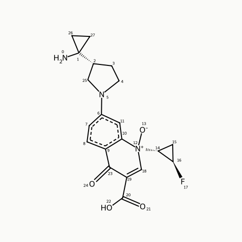 NC1([C@@H]2CCN(c3ccc4c(c3)[N+]([O-])([C@@H]3C[C@H]3F)C=C(C(=O)O)C4=O)C2)CC1